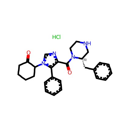 Cl.O=C1CCCCC1n1cnc(C(=O)N2CCNC[C@@H]2Cc2ccccc2)c1-c1ccccc1